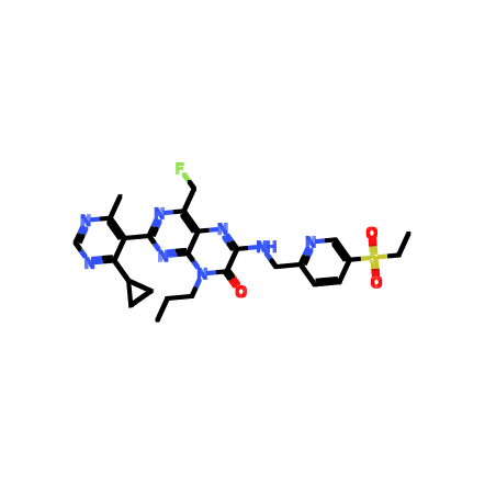 CCCn1c(=O)c(NCc2ccc(S(=O)(=O)CC)cn2)nc2c(CF)nc(-c3c(C)ncnc3C3CC3)nc21